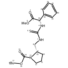 COC(=O)[C@@H](NC(=S)NC[C@@H]1CCCN1C(=O)OC(C)(C)C)c1ccccc1